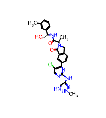 CN/N=C(\C=N)Nc1ncc(Cl)c(-c2ccc3c(c2)C(=O)N([C@H](C)C(=O)N[C@H](CO)c2cccc(C)c2)C3)n1